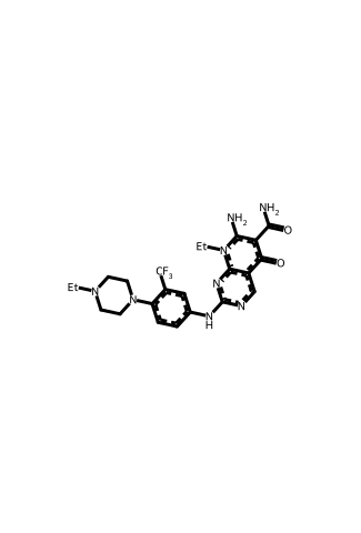 CCN1CCN(c2ccc(Nc3ncc4c(=O)c(C(N)=O)c(N)n(CC)c4n3)cc2C(F)(F)F)CC1